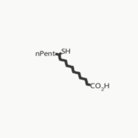 CCCCCC(S)CCCCCCCCCC(=O)O